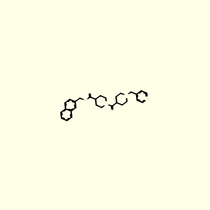 C=C(C1CCN(Cc2ccncc2)CC1)N1CCC(C(=O)NCc2ccc3ccccc3c2)CC1